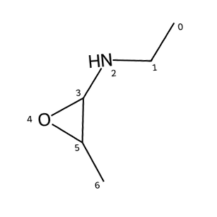 CCNC1OC1C